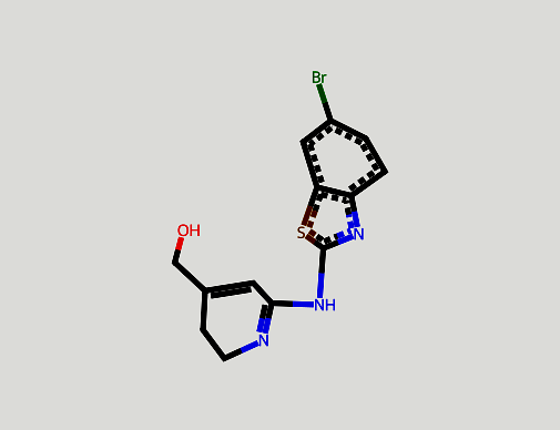 OCC1=CC(Nc2nc3ccc(Br)cc3s2)=NCC1